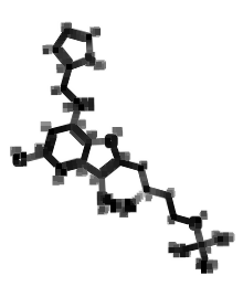 [2H]C([2H])([2H])OCC[C@H](N)Cc1oc2c(NCc3cccs3)cc(Cl)nc2c1Br